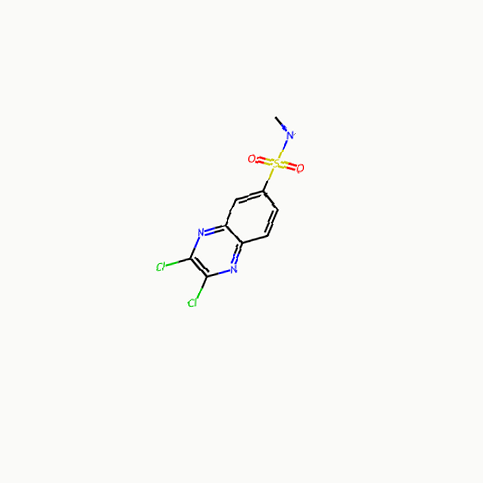 C[N]S(=O)(=O)c1ccc2nc(Cl)c(Cl)nc2c1